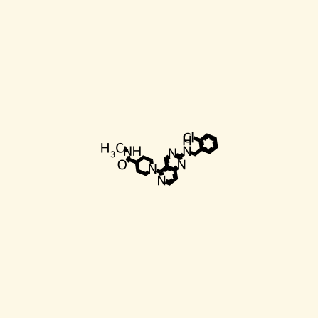 CNC(=O)C1CCN(c2nccc3nc(NCc4ccccc4Cl)ncc23)CC1